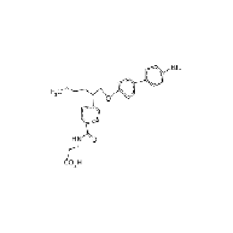 CC(C)(C)c1ccc(-c2ccc(OCC(CCCC(F)(F)F)c3ccc(C(=O)NCCC(=O)O)cc3)cc2)cc1